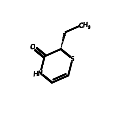 CC[C@@H]1SC=CNC1=O